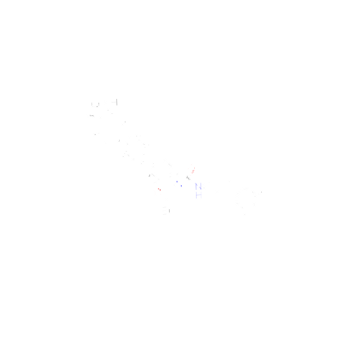 CCC1CN(C(=O)NCCCc2ccccc2)c2ccc(-c3ccc([C@H]4CC[C@H](CC(=O)O)CC4)cc3)cc2O1